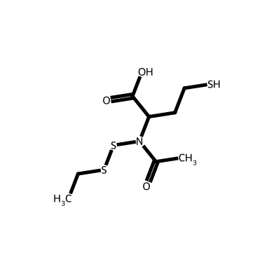 CCSSN(C(C)=O)C(CCS)C(=O)O